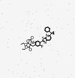 CCOC(=O)C(Cc1ccc(-c2nc3ccc(C4(c5ccccc5)C=C4)nc3s2)c(F)c1)(NC(C)=O)C(=O)OCC